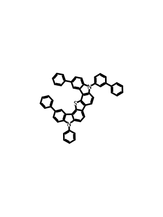 c1ccc(-c2cccc(-n3c4ccc(-c5ccccc5)cc4c4c5sc6c(ccc7c6c6cc(-c8ccccc8)ccc6n7-c6ccccc6)c5ccc43)c2)cc1